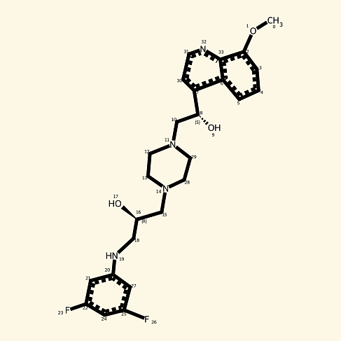 COc1cccc2c([C@H](O)CN3CCN(C[C@H](O)CNc4cc(F)cc(F)c4)CC3)ccnc12